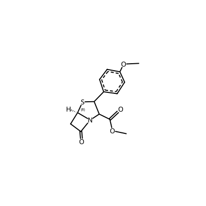 COC(=O)C1C(c2ccc(OC)cc2)S[C@@H]2CC(=O)N12